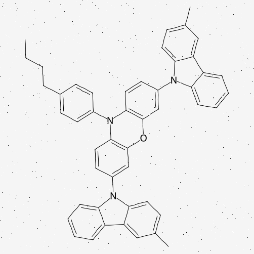 CCCCc1ccc(N2c3ccc(-n4c5ccccc5c5cc(C)ccc54)cc3Oc3cc(-n4c5ccccc5c5cc(C)ccc54)ccc32)cc1